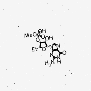 CC[C@H]1O[C@@H](n2cnc3c(=O)[nH]c(N)nc32)[C@@H](O)C1OP(=O)(O)OC